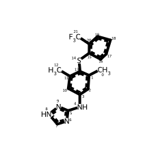 Cc1cc(Nc2nc[nH]n2)cc(C)c1Sc1ccccc1C(F)(F)F